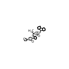 CCC(=O)Oc1c(NC(=O)OCC2c3ccccc3-c3ccccc32)cccc1N1CCN([C@H]2CCOC2)CC1=O